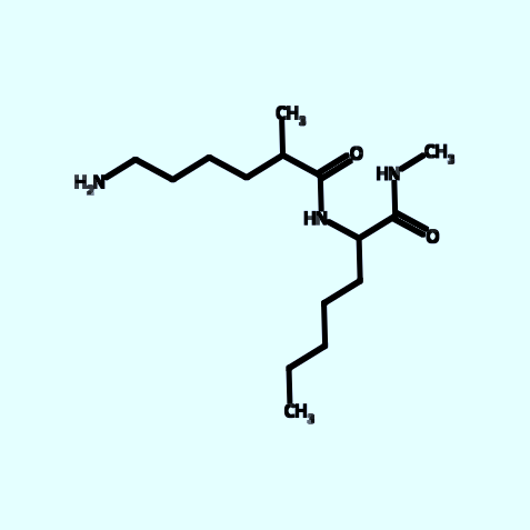 CCCCCC(NC(=O)C(C)CCCCN)C(=O)NC